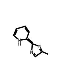 CC1=NC(=C2C=CC=CN2)N=C1